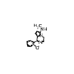 CNc1ccc2c(-c3ccccc3Cl)nccn12